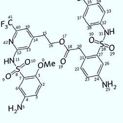 COc1ccc(N)cc1S(=O)(=O)Nc1cc(CCOC(=O)Cc2ccc(N)cc2S(=O)(=O)Nc2ccc(Cl)cc2)cc(C(F)(F)F)n1